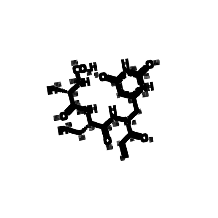 C=CC(=O)N(Cc1cc(=O)[nH]c(=O)[nH]1)NC(=O)[C@H](CC(C)C)NC(=O)[C@@H](NC(=O)O)C(C)C